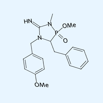 COc1ccc(CN2C(=N)N(C)P(=O)(OC)C2Cc2ccccc2)cc1